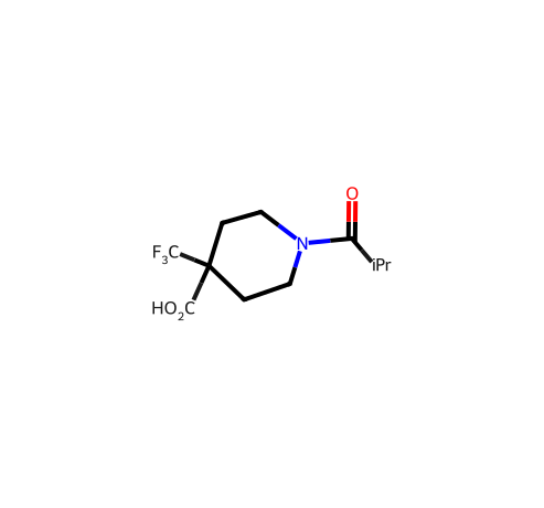 CC(C)C(=O)N1CCC(C(=O)O)(C(F)(F)F)CC1